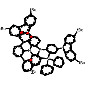 CC(C)(C)c1cc2c3c(c1)[Si](c1ccccc1)(c1ccccc1)c1cc(-n4c5ccc(C(C)(C)C)cc5c5cc(C(C)(C)C)ccc54)ccc1B3c1ccc(-n3c4ccc(C(C)(C)C)cc4c4cc(C(C)(C)C)ccc43)cc1N2c1c(-c2ccccc2)cccc1-c1ccccc1